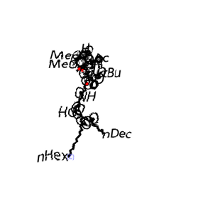 CCCCCC/C=C\CCCCCCCCCC(=O)OC(COC(=O)CCCCCCCCCCCCCCC)COP(=O)(O)OCCNC(=O)CCC(=O)O[C@@H](C(=O)O[C@H]1C[C@@]2(O)[C@@H](OC(=O)c3ccccc3)[C@@H]3[C@]4(OC(C)=O)CO[C@@H]4C[C@H](OC)[C@@]3(C)C(=O)[C@H](OC)C(=C1C)C2(C)C)[C@@H](NC(=O)OC(C)(C)C)c1ccccc1